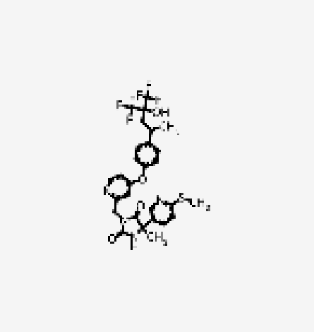 CSc1ccc(C2(C)NC(=O)N(Cc3cc(Oc4ccc(C(C)CC(O)(C(F)(F)F)C(F)(F)F)cc4)ccn3)C2=O)cn1